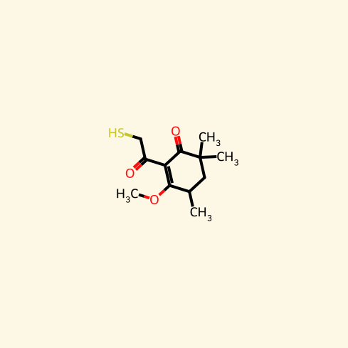 COC1=C(C(=O)CS)C(=O)C(C)(C)CC1C